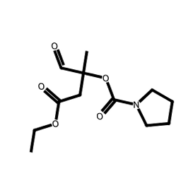 CCOC(=O)CC(C)(C=O)OC(=O)N1CCCC1